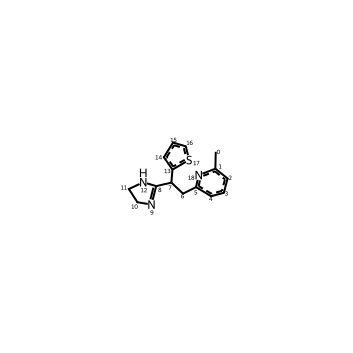 Cc1cccc(CC(C2=NCCN2)c2cccs2)n1